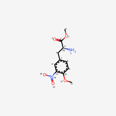 COC(=O)[C@@H](N)Cc1ccc(OC)c([N+](=O)[O-])c1